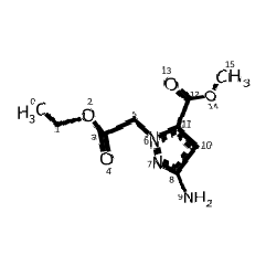 CCOC(=O)Cn1nc(N)cc1C(=O)OC